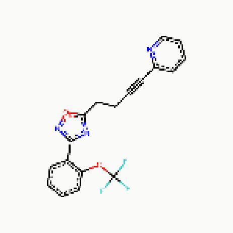 FC(F)(F)Oc1ccccc1-c1noc(CCC#Cc2ccccn2)n1